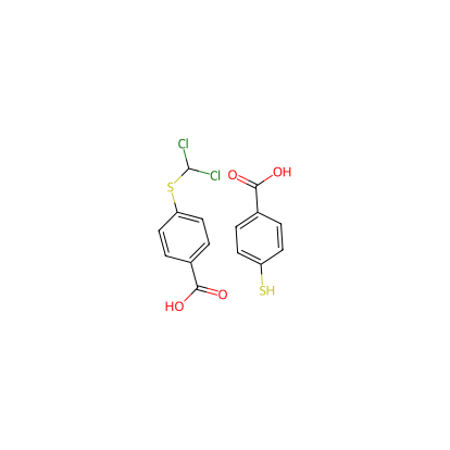 O=C(O)c1ccc(S)cc1.O=C(O)c1ccc(SC(Cl)Cl)cc1